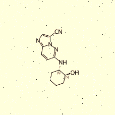 N#Cc1cnc2ccc(N[C@H]3CCCC[C@@H]3O)nn12